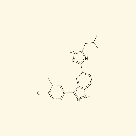 Cc1cc(-c2n[nH]c3ccc(-c4n[nH]c(CC(C)C)n4)cc23)ccc1Cl